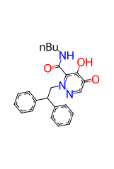 CCCCNC(=O)c1c(O)c(=O)cnn1CC(c1ccccc1)c1ccccc1